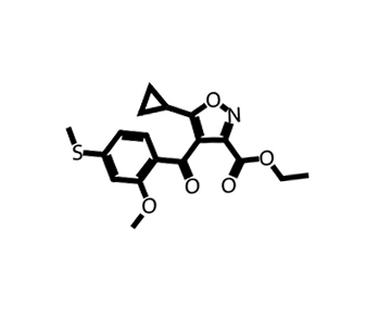 CCOC(=O)c1noc(C2CC2)c1C(=O)c1ccc(SC)cc1OC